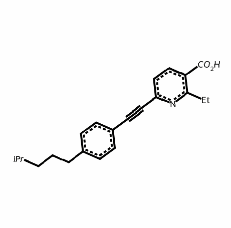 CCc1nc(C#Cc2ccc(CCCC(C)C)cc2)ccc1C(=O)O